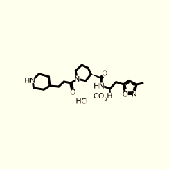 Cc1cc(C[C@H](NC(=O)[C@@H]2CCCN(C(=O)CCC3CCNCC3)C2)C(=O)O)on1.Cl